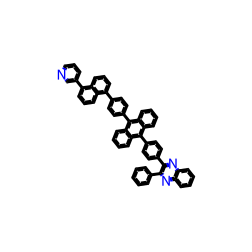 c1ccc(-c2nc3ccccc3nc2-c2ccc(-c3c4ccccc4c(-c4ccc(-c5cccc6c(-c7cccnc7)cccc56)cc4)c4ccccc34)cc2)cc1